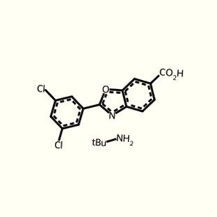 CC(C)(C)N.O=C(O)c1ccc2nc(-c3cc(Cl)cc(Cl)c3)oc2c1